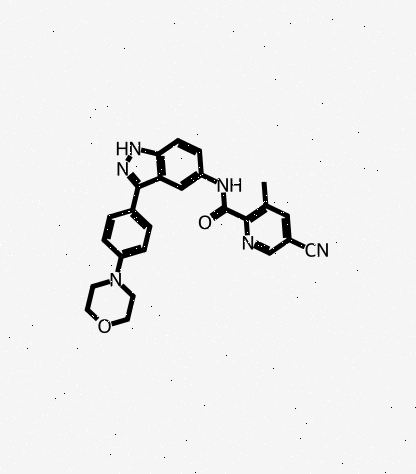 Cc1cc(C#N)cnc1C(=O)Nc1ccc2[nH]nc(-c3ccc(N4CCOCC4)cc3)c2c1